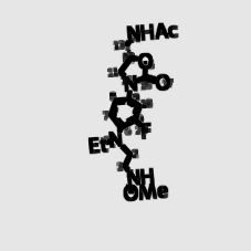 CCN(CCNOC)c1ccc(N2C[C@H](CNC(C)=O)OC2=O)cc1F